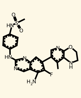 Cc1c(-c2cc3nc(Nc4ccc(NS(C)(=O)=O)cc4)ncc3c(N)c2F)cnc2c1NCCO2